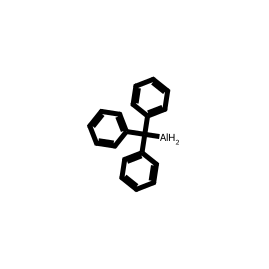 [AlH2][C](c1ccccc1)(c1ccccc1)c1ccccc1